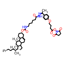 C/C(=N/NC(=O)CCCCCNC(=O)O[C@H]1CC[C@@]2(C)C(=CCC3C2CC[C@@]2(C)C3CC[C@@H]2[C@H](C)CCCC(C)C)C1)c1ccc(OCCCC(=O)ON2C(=O)CCC2=O)cc1